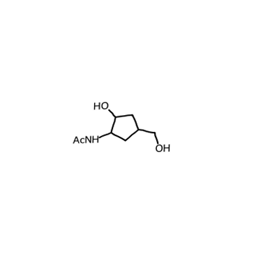 CC(=O)NC1CC(CO)CC1O